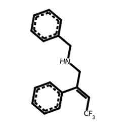 FC(F)(F)/C=C(/CNCc1ccccc1)c1ccccc1